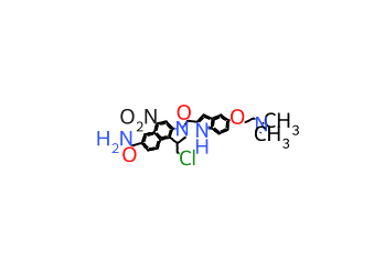 CN(C)CCOc1ccc2[nH]c(C(=O)N3CC(CCl)c4c3cc([N+](=O)[O-])c3cc(C(N)=O)ccc43)cc2c1